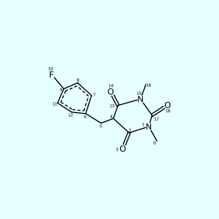 CN1C(=O)C(Cc2ccc(F)cc2)C(=O)N(C)C1=O